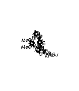 COc1ccc(CNc2ncc(Cl)c3c2c(-c2ccc(C(=O)Nc4ccccn4)cc2F)nn3C2CN(C(=O)OC(C)(C)C)C2)c(OC)c1